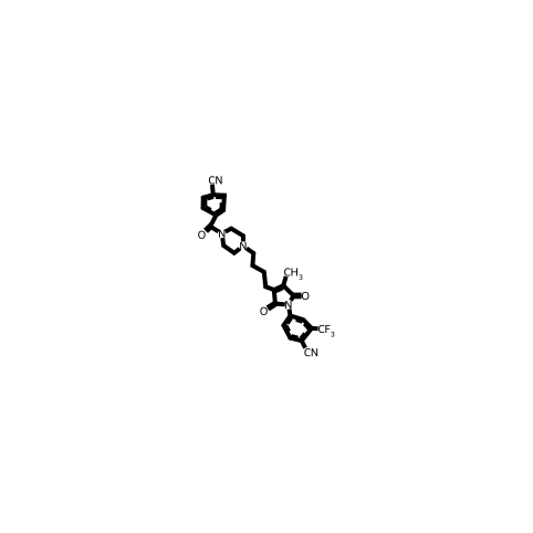 CC1=C(CCCCN2CCN(C(=O)c3ccc(C#N)cc3)CC2)C(=O)N(c2ccc(C#N)c(C(F)(F)F)c2)C1=O